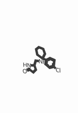 O=C1CCC(CNC2(c3ccc(Cl)cc3)CCCCC2)N1